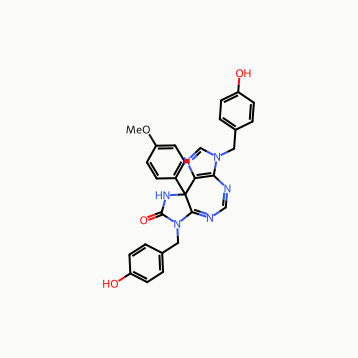 COc1ccc(C23NC(=O)N(Cc4ccc(O)cc4)C2=NC=Nc2c3ncn2Cc2ccc(O)cc2)cc1